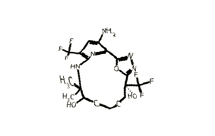 CC1(C)Nc2nc(c(N)cc2C(F)(F)F)-c2nnc(o2)[C@@](O)(C(F)(F)F)CCCCC1O